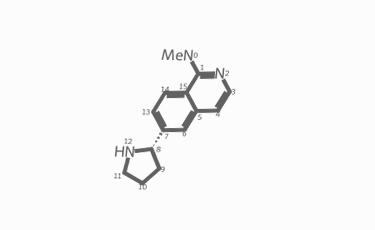 CNc1nccc2cc([C@@H]3CCCN3)ccc12